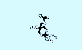 CC1(COC(=O)Cl)COC(C)(C)OC1